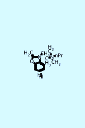 C=C1Oc2ccccc2N1C.CCC[N+](C)(C)C.I.I